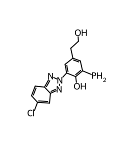 OCCc1cc(P)c(O)c(-n2nc3ccc(Cl)cc3n2)c1